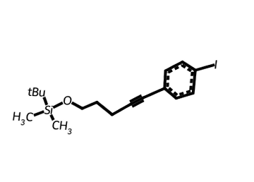 CC(C)(C)[Si](C)(C)OCCCC#Cc1ccc(I)cc1